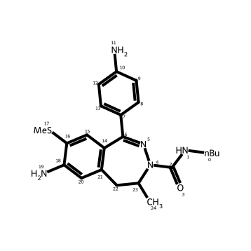 CCCCNC(=O)N1N=C(c2ccc(N)cc2)c2cc(SC)c(N)cc2CC1C